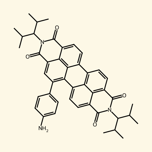 CC(C)C(C(C)C)N1C(=O)c2ccc3c4ccc5c6c(cc(-c7ccc(N)cc7)c(c7ccc(c2c37)C1=O)c64)C(=O)N(C(C(C)C)C(C)C)C5=O